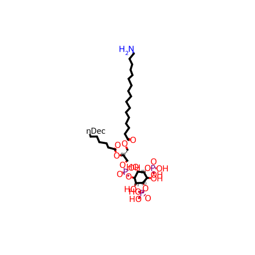 CCCCCCCCCCCCCCCC(=O)O[C@H](COC(=O)CCCCCCCCCCCCCCCCN)COP(=O)(O)OC1C(O)[C@@H](OP(=O)(O)O)C(O)[C@@H](OP(=O)(O)O)[C@H]1O